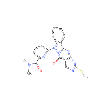 CSc1ncc2c(=O)n3c(nc2n1)c1ccccc1n3-c1cccc(C(=O)N(C)C)n1